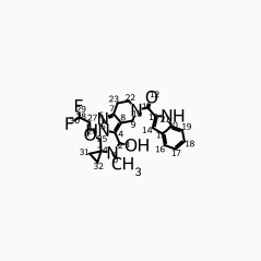 CN(C(O)c1[nH]nc2c1CN(C(=O)c1cc3ccccc3[nH]1)CC2)C1(COCC(F)F)CC1